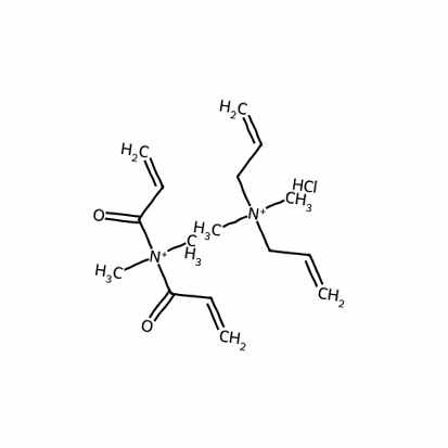 C=CC(=O)[N+](C)(C)C(=O)C=C.C=CC[N+](C)(C)CC=C.Cl